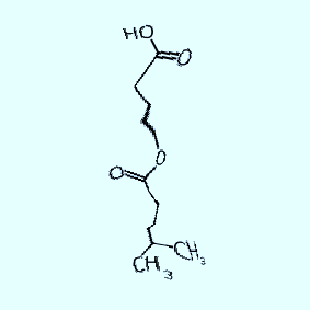 CC(C)CCC(=O)OCCCC(=O)O